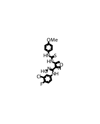 COc1ccc(NC(=S)Nc2conc2/C(=N/O)Nc2ccc(F)c(Cl)c2)cc1